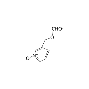 O=[C]OCc1ccc[n+]([O-])c1